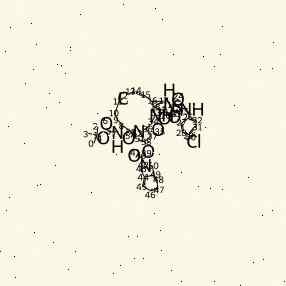 CC(C)(C)OC(=O)NC1CCCCCC=CC2CC2(C(=O)NS(=O)(=O)Nc2ccc(Cl)cc2)NC(=O)C2CC(OC(=O)N3Cc4ccccc4C3)CN2C1=O